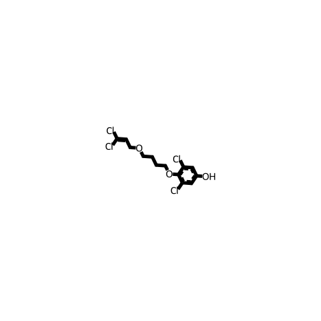 Oc1cc(Cl)c(OCCCCOCC=C(Cl)Cl)c(Cl)c1